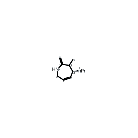 C=C1NCC=C[C@H](CCC)C1C